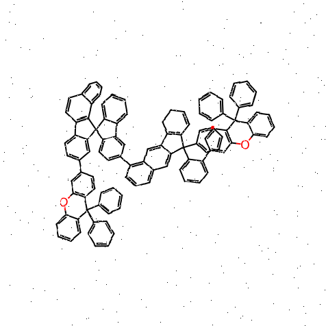 C1=CC2=C(CC1)c1cc3c(-c4ccc5c(c4)-c4ccccc4C54c5cc(-c6ccc7c(c6)Oc6ccccc6C7(c6ccccc6)c6ccccc6)ccc5-c5ccc6ccccc6c54)cccc3cc1C2(c1ccccc1)c1ccccc1-c1ccc2c(c1)Oc1ccccc1C2(c1ccccc1)c1ccccc1